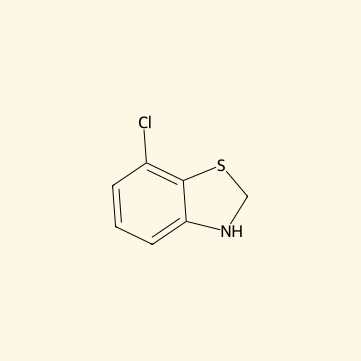 Clc1cccc2c1SCN2